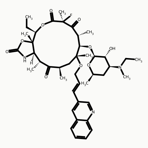 CC[C@H]1OC(=O)[C@@](C)(F)C(=O)[C@H](C)[C@@H](O[C@@H]2O[C@H](C)C[C@H](N(C)CC)[C@H]2O)[C@](C)(OC/C=C/c2cnc3ccccc3c2)C[C@@H](C)C(=O)[C@H](C)[C@H]2NC(=O)O[C@@]21C